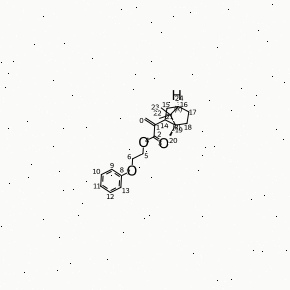 C=C(C(=O)OCCOc1ccccc1)C1C[C@H]2CC[C@@]1(C)C2(C)C